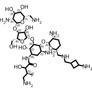 NC[C@@H]1O[C@H](O[C@H]2[C@@H](O)[C@H](O[C@@H]3[C@@H](O)[C@H](NC(=O)C(O)[C@@H](F)CN)C[C@H](N)[C@H]3O[C@H]3O[C@H](CNCC4CC(N)C4)CC[C@H]3N)O[C@@H]2CO)[C@H](N)[C@@H](O)[C@@H]1O